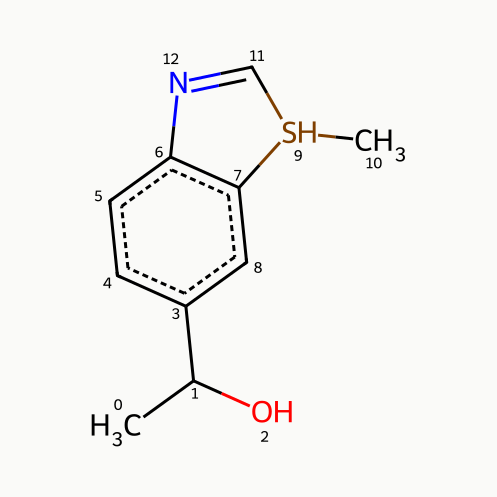 CC(O)c1ccc2c(c1)[SH](C)C=N2